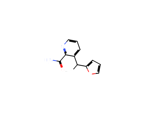 CC(c1ccco1)c1cccnc1C(N)=O